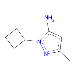 Cc1cc(N)n(C2CCC2)n1